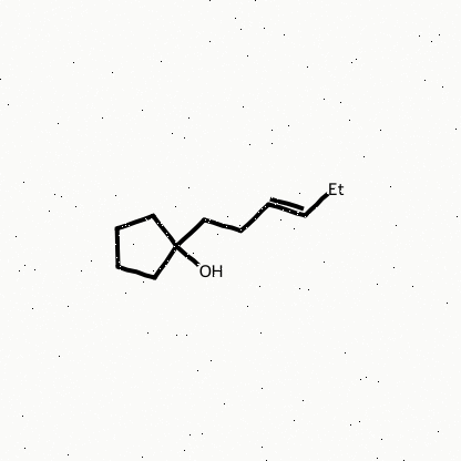 CCC=CCCC1(O)CCCC1